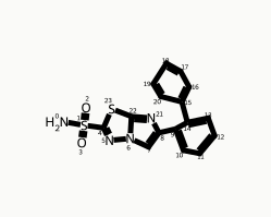 NS(=O)(=O)c1nn2cc(-c3ccccc3-c3ccccc3)nc2s1